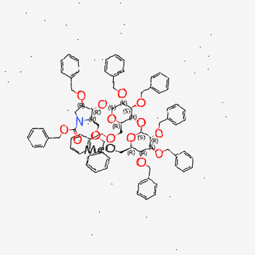 COC[C@H]1O[C@@H](O[C@H]2[C@H](OCc3ccccc3)[C@@H](OCc3ccccc3)[C@@H](O[C@@H]3[C@@H](COCc4ccccc4)N(C(=O)OCc4ccccc4)C[C@H]3OCc3ccccc3)O[C@@H]2COCc2ccccc2)[C@H](OCc2ccccc2)[C@@H](OCc2ccccc2)[C@@H]1OCc1ccccc1